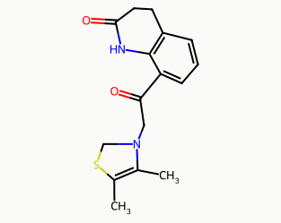 CC1=C(C)N(CC(=O)c2cccc3c2NC(=O)CC3)CS1